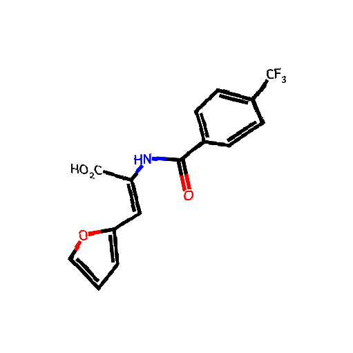 O=C(O)C(=Cc1ccco1)NC(=O)c1ccc(C(F)(F)F)cc1